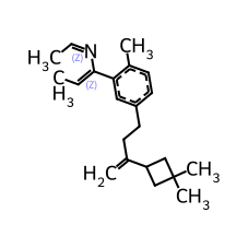 C=C(CCc1ccc(C)c(C(=C/C)/N=C\C)c1)C1CC(C)(C)C1